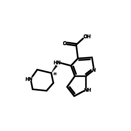 O=C(O)c1cnc2[nH]ccc2c1N[C@@H]1CCCNC1